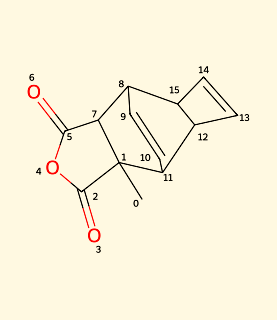 CC12C(=O)OC(=O)C1C1C=CC2C2C=CC21